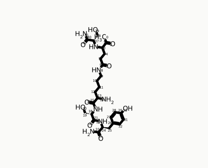 CC(=O)C(CCC(=O)NCCCCC(N)C(=O)N[C@@H](CO)C(=O)N[C@@H](Cc1ccc(O)cc1)C(N)=O)N[C@@H](CO)C(N)=O